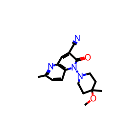 COC1(C)CCN(n2c(=O)c(C#N)cc3nc(C)ccc32)CC1